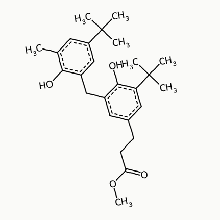 COC(=O)CCc1cc(Cc2cc(C(C)(C)C)cc(C)c2O)c(O)c(C(C)(C)C)c1